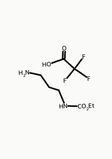 CCOC(=O)NCCCN.O=C(O)C(F)(F)F